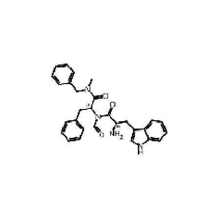 CN(Cc1ccccc1)C(=O)[C@H](Cc1ccccc1)N(C=O)C(=O)[C@H](N)Cc1c[nH]c2ccccc12